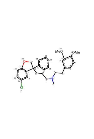 COc1ccc(CCN(C)CCCC2(c3ccccc3)COc3ccc(Cl)cc32)cc1OC